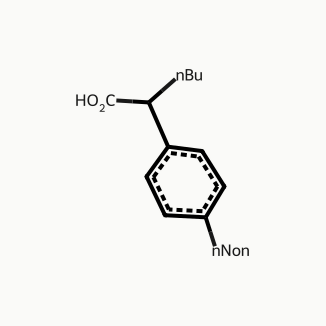 CCCCCCCCCc1ccc(C(CCCC)C(=O)O)cc1